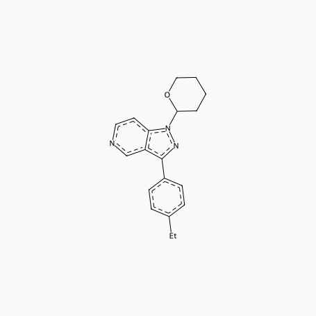 CCc1ccc(-c2nn(C3CCCCO3)c3ccncc23)cc1